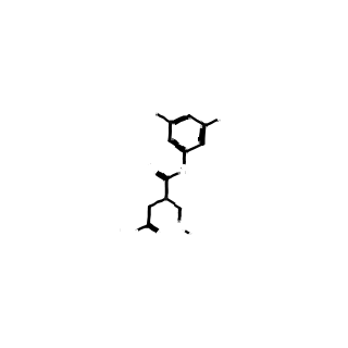 COCC(CC(=O)O)C(=O)Nc1cc(Cl)cc(Cl)c1